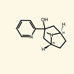 CN1[C@@H]2CC[C@@H]1CC(O)(c1cc[c]cn1)C2